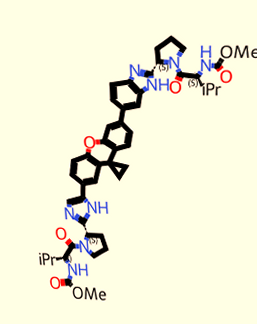 COC(=O)N[C@H](C(=O)N1CCC[C@H]1c1ncc(-c2ccc3c(c2)C2(CC2)c2ccc(-c4ccc5nc([C@@H]6CCCN6C(=O)[C@@H](NC(=O)OC)C(C)C)[nH]c5c4)cc2O3)[nH]1)C(C)C